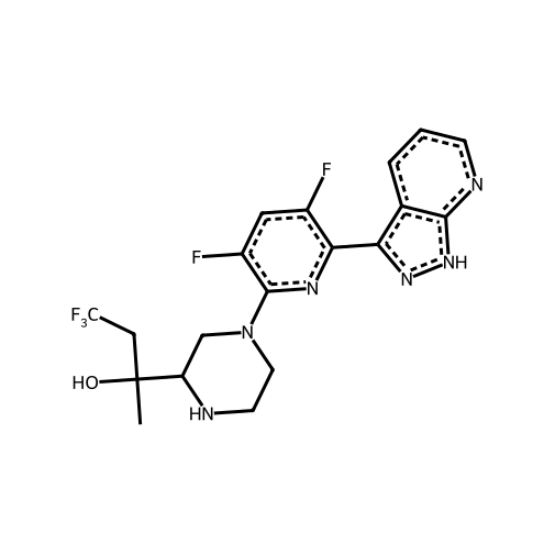 CC(O)(CC(F)(F)F)C1CN(c2nc(-c3n[nH]c4ncccc34)c(F)cc2F)CCN1